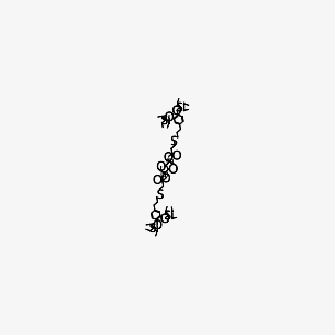 CC[Si](CC)(CC)Oc1ccc(CCCSCCC(=O)O[C@H]2COC3C2OC[C@H]3OC(=O)CCSCCCc2ccc(O[Si](CC)(CC)CC)c(O[Si](CC)(CC)CC)c2)cc1O[Si](CC)(CC)CC